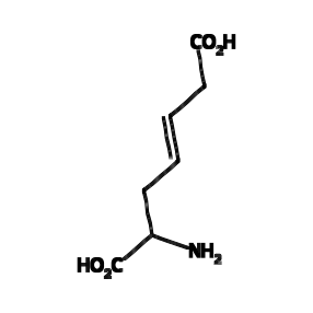 NC(CC=CCC(=O)O)C(=O)O